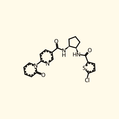 O=C(N[C@H]1CCC[C@H]1NC(=O)c1ccc(Cl)s1)c1ccc(-n2ccccc2=O)nc1